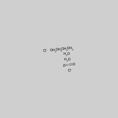 O.O.O.O.O.O.[Cl-].[Cl-].[O]=[Zr+2]